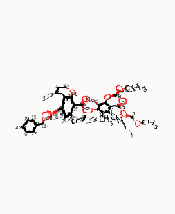 COCOC(=O)c1c(C)c(C)c(OC(=O)c2c(C)cc(OCc3ccccc3)c3c2OCCC3)c(Br)c1OCOC